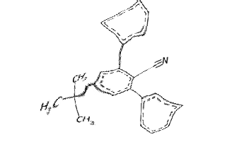 CC(C)(C)c1cc(-c2ccccc2)c(C#N)c(-c2ccccc2)c1